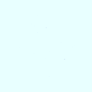 CCC(=O)Oc1cc(OC)ccc1OC.O=C(O)C(O)c1ccccc1